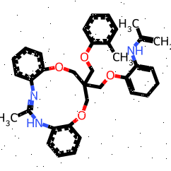 C=C(C)NC1=CCCC=C1OCC1(COc2ccccc2C)COc2ccccc2/N=C(\C)Nc2ccccc2OC1